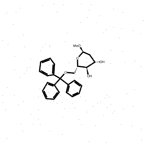 CO[C@H]1C[C@H](O)[C@@H](O)[C@H](COC(c2ccccc2)(c2ccccc2)c2ccccc2)O1